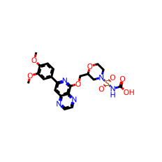 COc1ccc(-c2cc3nccnc3c(OCC3CN(S(=O)(=O)NC(=O)O)CCO3)n2)cc1OC